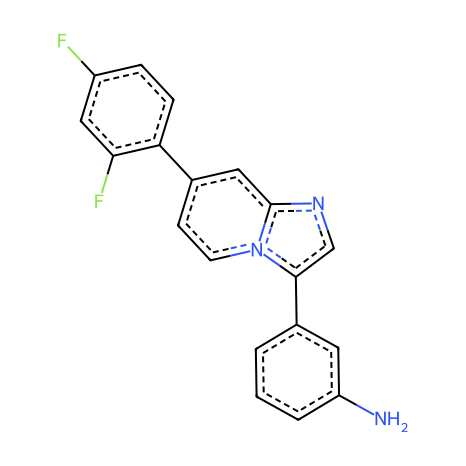 Nc1cccc(-c2cnc3cc(-c4ccc(F)cc4F)ccn23)c1